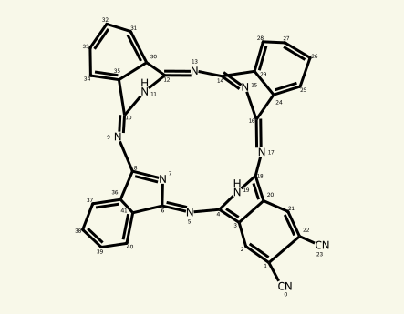 N#Cc1cc2c3nc4nc(nc5[nH]c(nc6nc(nc([nH]3)c2cc1C#N)-c1ccccc1-6)c1ccccc51)-c1ccccc1-4